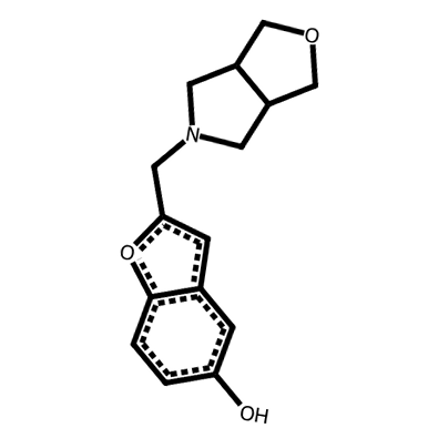 Oc1ccc2oc(CN3CC4COCC4C3)cc2c1